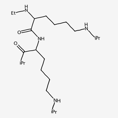 CCNC(CCCCNC(C)C)C(=O)NC(CCCCNC(C)C)C(=O)C(C)C